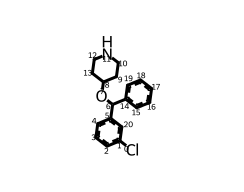 Clc1cccc(C(OC2CCNCC2)c2ccccc2)c1